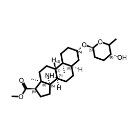 COC(=O)[C@@H]1CC[C@]2(N)[C@@H]3CC[C@@H]4C[C@@H](O[C@@H]5CC[C@@H](O)C(C)O5)CC[C@]4(C)[C@H]3CC[C@]12C